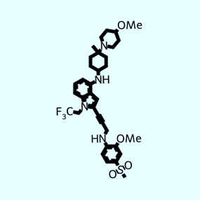 COc1cc(S(C)(=O)=O)ccc1NCC#Cc1cc2c(NC3CCC(C)(N4CCC(OC)CC4)CC3)cccc2n1CC(F)(F)F